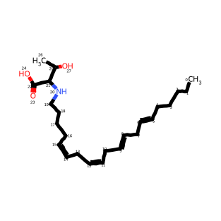 CCCCCC=CCC=CC/C=C\C/C=C\CCCCNC(C(=O)O)C(C)O